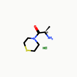 C[C@H](N)C(=O)N1CCSCC1.Cl